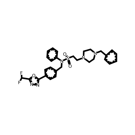 O=S(=O)(CCN1CCN(Cc2ccccc2)CC1)N(Cc1ccc(-c2nnc(C(F)F)o2)cc1)c1ccccc1